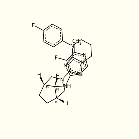 Cc1ncnc(N2C[C@H]3CC[C@@H](C2)[C@H]3Nc2nc3n(n2)CCCN3c2ccc(F)cc2)c1F